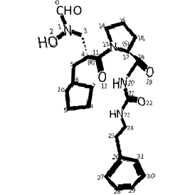 O=CN(O)C[C@@H](CC1CCCC1)C(=O)N1CCC[C@H]1C(=O)NC(=O)NCCc1ccccc1